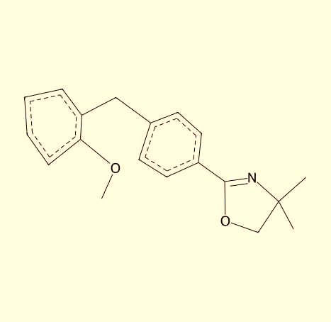 COc1ccccc1Cc1ccc(C2=NC(C)(C)CO2)cc1